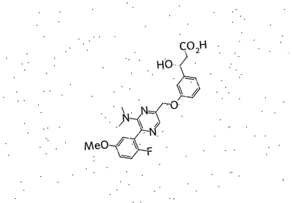 COc1ccc(F)c(-c2ncc(COc3cccc([C@H](O)CC(=O)O)c3)nc2N(C)C)c1